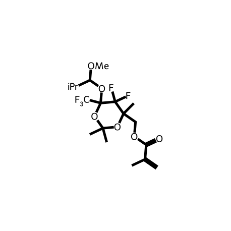 C=C(C)C(=O)OCC1(C)OC(C)(C)OC(OC(OC)C(C)C)(C(F)(F)F)C1(F)F